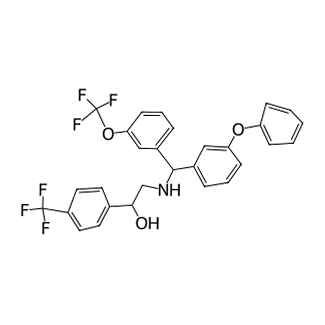 OC(CNC(c1cccc(Oc2ccccc2)c1)c1cccc(OC(F)(F)F)c1)c1ccc(C(F)(F)F)cc1